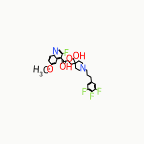 COc1ccc2ncc(F)c([C@H](O)CCC3(C(=O)O)CCN(CCCc4cc(F)c(F)c(F)c4)CC3)c2c1